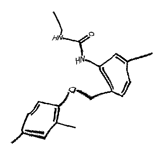 CNC(=O)Nc1cc(C)ccc1COc1ccc(C)cc1C